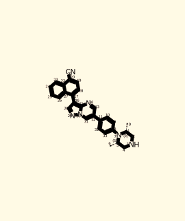 C[C@@H]1CNC[C@H](C)N1c1ccc(-c2cnc3c(-c4ccc(C#N)c5ccccc45)cnn3c2)cc1